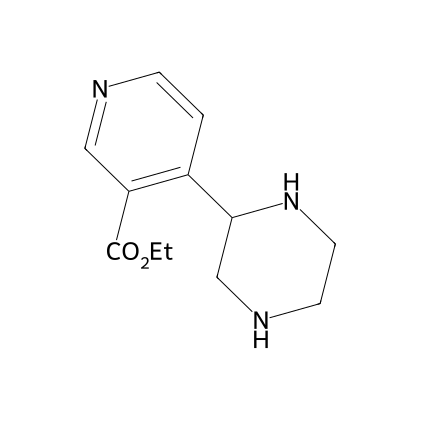 CCOC(=O)c1cnccc1C1CNCCN1